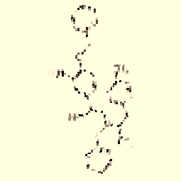 Cc1ccc(CC(C)N(Cc2ccccc2)CC(O)c2ccc(OCc3ccccc3)c(N)c2)cc1